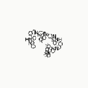 CC(C)(C)OC(=O)c1nc(N2CCc3cccc(C(=O)Nc4nc5ccccc5s4)c3C2)ccc1B1OC(C)(C)C(C)(C)O1.CC(C)(C)OC(=O)c1nc(N2CCc3cccc(C(=O)Nc4nc5ccccc5s4)c3C2)ccc1Br